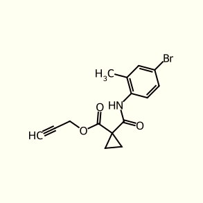 C#CCOC(=O)C1(C(=O)Nc2ccc(Br)cc2C)CC1